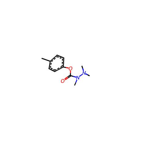 Cc1ccc(OC(=O)N(C)N(C)C)cc1